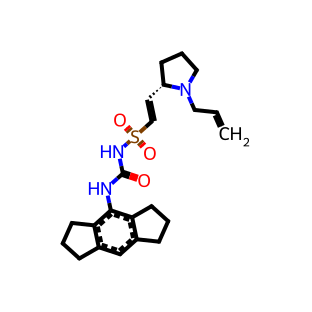 C=CCN1CCC[C@H]1/C=C/S(=O)(=O)NC(=O)Nc1c2c(cc3c1CCC3)CCC2